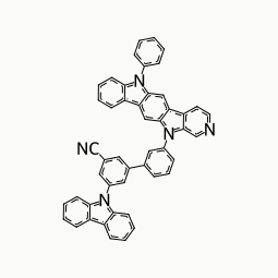 N#Cc1cc(-c2cccc(-n3c4cnccc4c4cc5c(cc43)c3ccccc3n5-c3ccccc3)c2)cc(-n2c3ccccc3c3ccccc32)c1